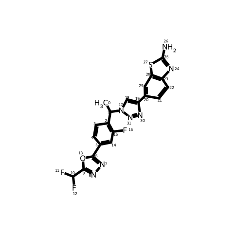 CC(c1ccc(-c2nnc(C(F)F)o2)cc1F)n1cc(-c2ccc3nc(N)sc3c2)nn1